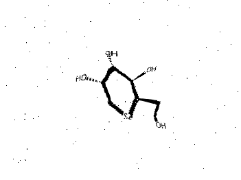 OC[C@H]1[Se]C[C@H](O)[C@H](O)[C@H]1O